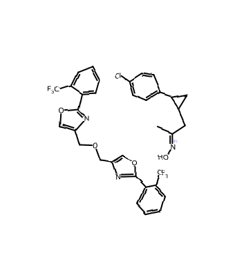 C/C(CC1CC1c1ccc(Cl)cc1)=N\O.FC(F)(F)c1ccccc1-c1nc(COCc2coc(-c3ccccc3C(F)(F)F)n2)co1